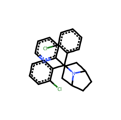 Clc1ccccc1C(c1ccccc1Cl)N1C2CCC1CC(c1ccccn1)C2